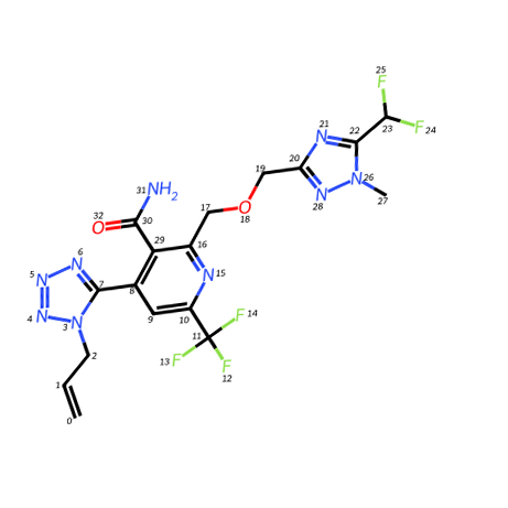 C=CCn1nnnc1-c1cc(C(F)(F)F)nc(COCc2nc(C(F)F)n(C)n2)c1C(N)=O